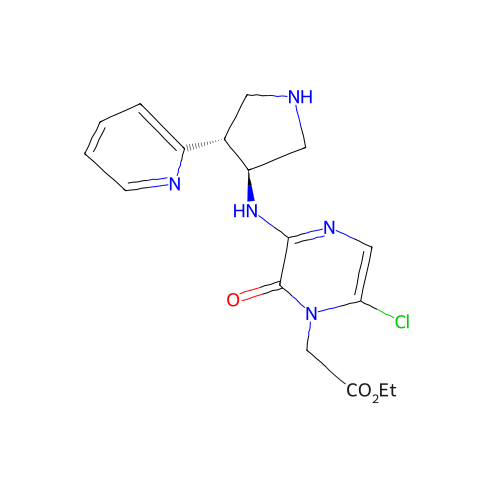 CCOC(=O)Cn1c(Cl)cnc(N[C@@H]2CNC[C@H]2c2ccccn2)c1=O